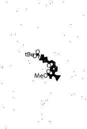 COC(=O)C(C)C(c1ccc2c(c1)OC(C1CC3(C1)CN(C(=O)OC(C)(C)C)C3)CC2)C1CC1